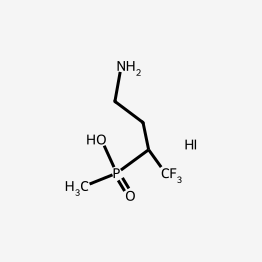 CP(=O)(O)C(CCN)C(F)(F)F.I